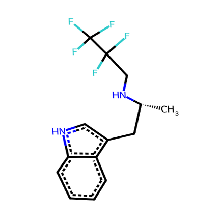 C[C@H](Cc1c[nH]c2ccccc12)NCC(F)(F)C(F)(F)F